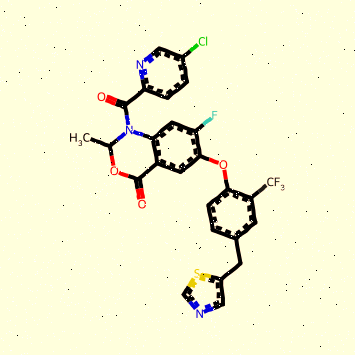 CC1OC(=O)c2cc(Oc3ccc(Cc4cncs4)cc3C(F)(F)F)c(F)cc2N1C(=O)c1ccc(Cl)cn1